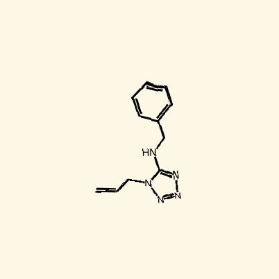 C=CCn1nnnc1NCc1ccccc1